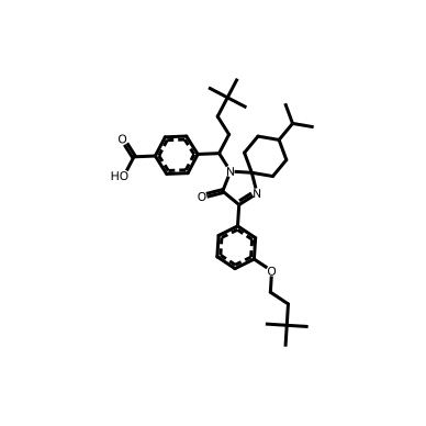 CC(C)C1CCC2(CC1)N=C(c1cccc(OCCC(C)(C)C)c1)C(=O)N2C(CCC(C)(C)C)c1ccc(C(=O)O)cc1